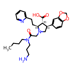 CCCCN(CCCN)C(=O)CN1C[C@H](c2ccc3c(c2)OCO3)[C@@H](C(=O)O)[C@@H]1CCc1ccccn1